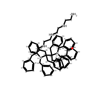 NCCNCCNCCNCC(Cc1ccccc1)N(Cc1ccccc1)C(Cc1ccccc1)(Cc1ccccc1)C(Cc1ccccc1)(Cc1ccccc1)N(Cc1ccccc1)Cc1ccccc1